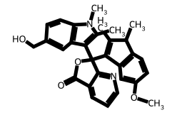 COc1ccc2c(c1)C(C1(c3c(C)n(C)c4ccc(CO)cc34)OC(=O)c3cccnc31)=C(C)C2C